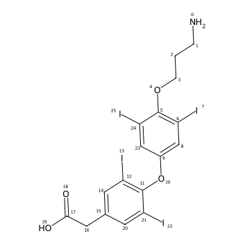 NCCCOc1c(I)cc(Oc2c(I)cc(CC(=O)O)cc2I)cc1I